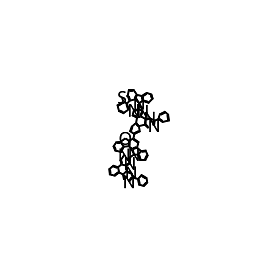 c1ccc(-c2ncc3c4cc(-c5cc6c7ccccc7n(-c7ncc8c9ccccc9c9cnc(-c%10ccccc%10)nc9c8n7)c6c6c5oc5ccccc56)ccc4c4cnc(-n5c6ccccc6c6ccc7sc8ccccc8c7c65)nc4c3n2)cc1